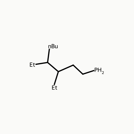 CCCCC(CC)C(CC)CCP